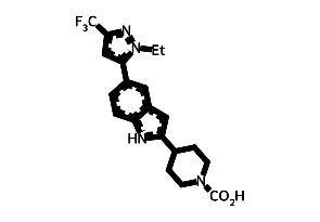 CCn1nc(C(F)(F)F)cc1-c1ccc2[nH]c(C3CCN(C(=O)O)CC3)cc2c1